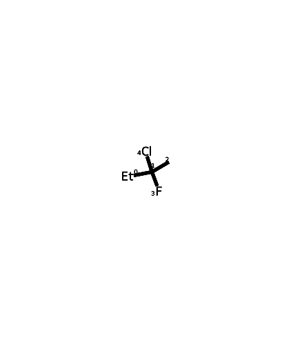 CCC(C)(F)Cl